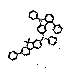 CC1(C)c2cc(-c3ccccc3)ccc2-c2ccc(N(c3ccccc3)c3ccc4c(c3)c3c(-c5ccccc5)cccc3n4-c3ccccc3)cc21